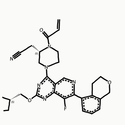 C=CC(=O)N1CCN(c2nc(OC[C@@H]3CCCN3C)nc3c(F)c(-c4cccc5c4CCOC5)ncc23)C[C@@H]1CC#N